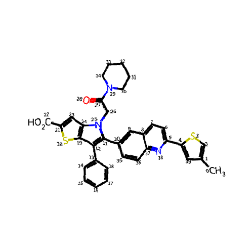 Cc1csc(-c2ccc3cc(-c4c(-c5ccccc5)c5sc(C(=O)O)cc5n4CC(=O)N4CCCCC4)ccc3n2)c1